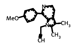 C#CCn1c(C)c(C)c2ccnc(-c3ccc(OC)cc3)c21